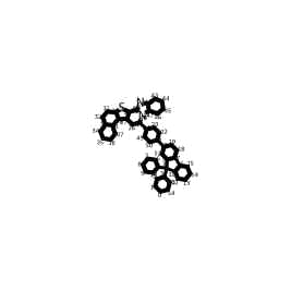 c1ccc(C2(c3ccccc3)c3ccccc3-c3ccc(-c4ccc(-c5cc6c(sc7ccc8ccccc8c76)c6nc7ccccc7n56)cc4)cc32)cc1